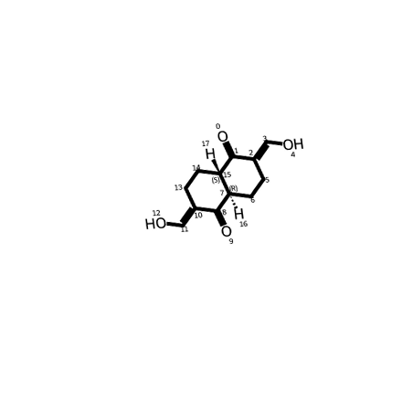 O=C1C(=CO)CC[C@H]2C(=O)C(=CO)CC[C@H]12